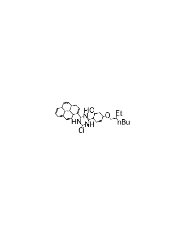 CCCCC(CC)COC1C=CC(C2=NC(C3=CCC4C=CC5C=CC=C6C=CC3C4C65)NC(Cl)N2)C(O)C1